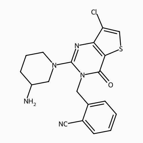 N#Cc1ccccc1Cn1c(N2CCCC(N)C2)nc2c(Cl)csc2c1=O